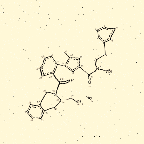 CCCCN(CCc1ccccc1)C(=O)c1cc(C)n(-c2ccccc2C(=O)N2Cc3ccccc3C[C@H]2CN)c1.Cl